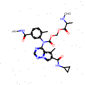 CCCNC(=O)c1ccc(C)c(N(C(=O)OCOC(=O)C(C)NC=O)c2ncnn3cc(C(=O)NC4CC4)c(C)c23)c1